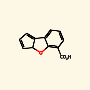 O=C(O)c1cccc2c1OC1C=CC=C21